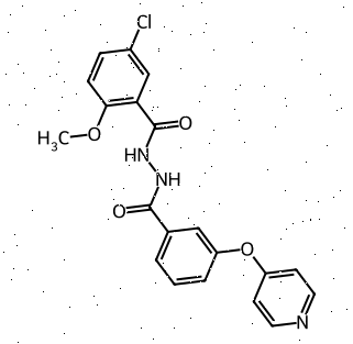 COc1ccc(Cl)cc1C(=O)NNC(=O)c1cccc(Oc2ccncc2)c1